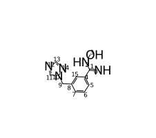 N=C(NO)c1cccc(Cn2cncn2)c1